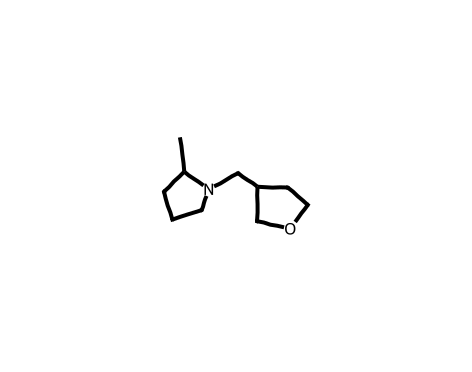 CC1CCCN1CC1CCOC1